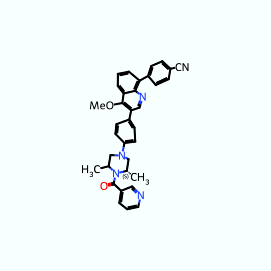 COc1c(-c2ccc(N3CC(C)N(C(=O)c4cccnc4)[C@@H](C)C3)cc2)cnc2c(-c3ccc(C#N)cc3)cccc12